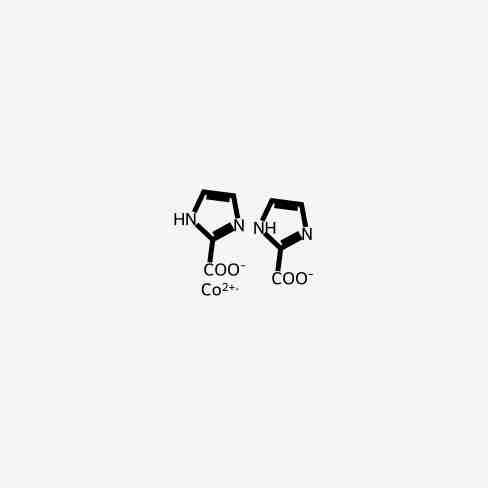 O=C([O-])c1ncc[nH]1.O=C([O-])c1ncc[nH]1.[Co+2]